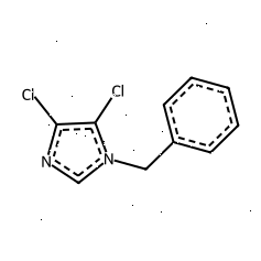 Clc1ncn(Cc2ccccc2)c1Cl